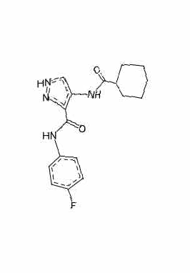 O=C(Nc1ccc(F)cc1)c1n[nH]cc1NC(=O)C1CCCCC1